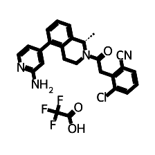 C[C@H]1c2cccc(-c3ccnc(N)c3)c2CCN1C(=O)Cc1c(Cl)cccc1C#N.O=C(O)C(F)(F)F